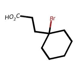 O=C(O)CCC1(Br)CCCCC1